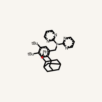 CC(C)(C)c1cc(CP(c2ncccn2)c2ncccn2)c(C23CC4CC(CC(C4)C2CP)C3)cc1C(C)(C)C